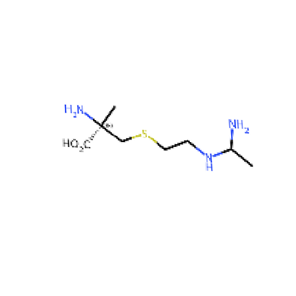 CC(N)NCCSC[C@](C)(N)C(=O)O